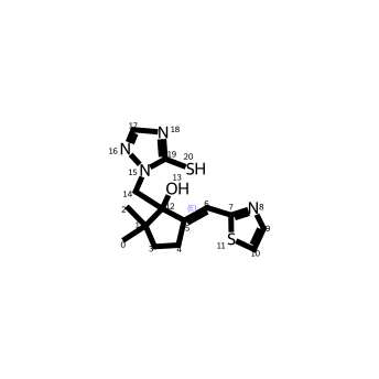 CC1(C)CC/C(=C\c2nccs2)C1(O)Cn1ncnc1S